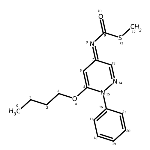 CCCCOc1cc(=NC(=O)SC)cnn1-c1ccccc1